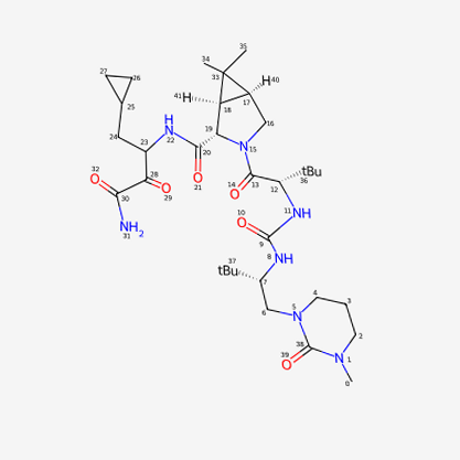 CN1CCCN(C[C@@H](NC(=O)N[C@H](C(=O)N2C[C@H]3[C@@H]([C@H]2C(=O)NC(CC2CC2)C(=O)C(N)=O)C3(C)C)C(C)(C)C)C(C)(C)C)C1=O